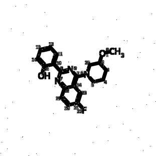 COC1CCCN(c2nc(-c3ccccc3O)nc3ccc(F)cc23)C1